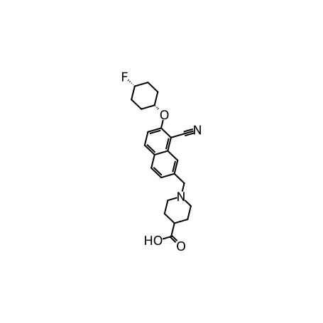 N#Cc1c(O[C@H]2CC[C@@H](F)CC2)ccc2ccc(CN3CCC(C(=O)O)CC3)cc12